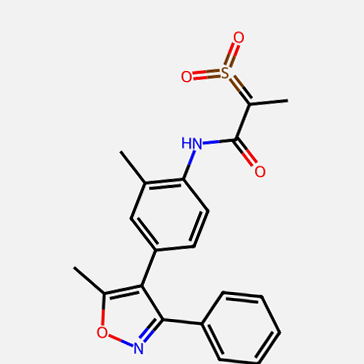 CC(C(=O)Nc1ccc(-c2c(-c3ccccc3)noc2C)cc1C)=S(=O)=O